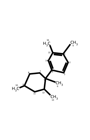 Cc1ccc(C2(C)CCC(C)CC2C)cc1C